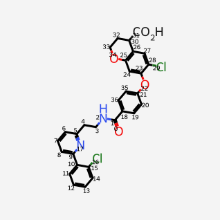 O=C(NCCc1cccc(-c2ccccc2Cl)n1)c1ccc(Oc2cc3c(cc2Cl)C(C(=O)O)CCO3)cc1